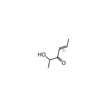 C/C=C/C(=O)C(C)O